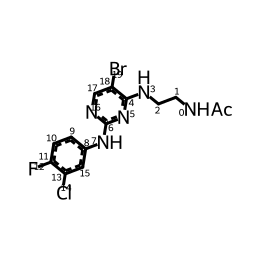 CC(=O)NCCNc1nc(Nc2ccc(F)c(Cl)c2)ncc1Br